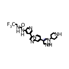 N=C/C(=C\NC1CCNCC1)c1ccn2c(-c3cncc(NC(=O)NCC(F)(F)F)c3)cnc2c1